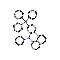 c1ccc(N2c3cc4c(cc3-c3cccc5cccc2c35)-c2ccccc2[Si]4(c2ccccc2)c2ccccc2)cc1